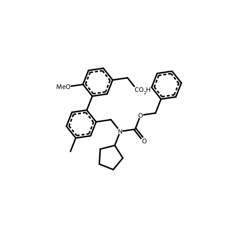 COc1ccc(CC(=O)O)cc1-c1ccc(C)cc1CN(C(=O)OCc1ccccc1)C1CCCC1